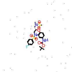 CN(C[C@H]1CN(S(=O)(=O)c2ccc(F)cc2)c2cc(NC(=O)OC(C)(C)C)ccc2O1)S(C)(=O)=O